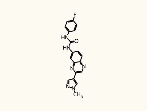 Cn1cc(-c2cnc3ccc(NC(=O)Nc4ccc(F)cc4)cc3n2)cn1